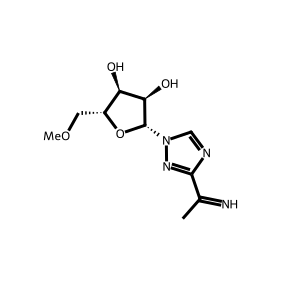 COC[C@H]1O[C@@H](n2cnc(C(C)=N)n2)[C@H](O)[C@@H]1O